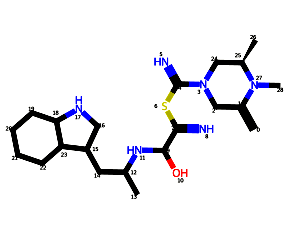 C=C1CN(C(=N)SC(=N)C(O)NC(C)CC2CNC3CCCCC23)C[C@@H](C)N1C